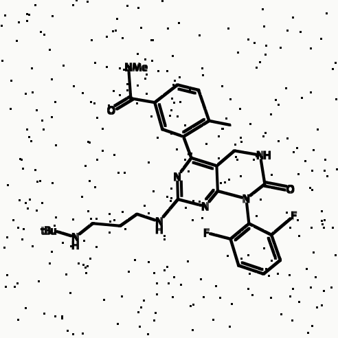 CNC(=O)c1ccc(C)c(-c2nc(NCCCNC(C)(C)C)nc3c2CNC(=O)N3c2c(F)cccc2F)c1